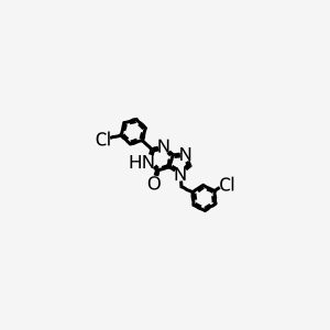 O=c1[nH]c(-c2cccc(Cl)c2)nc2ncn(Cc3cccc(Cl)c3)c12